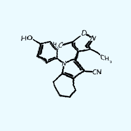 Cc1noc(C)c1-c1c(C#N)c2c(n1-c1ccc(O)cc1)CCCC2